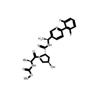 C[C@H](NC(=O)[C@@H]1C[C@@H](O)CN1C(=O)[C@@H](NC(=O)OC(C)(C)C)C(C)(C)C)c1ccc(-c2c(F)cccc2F)nc1